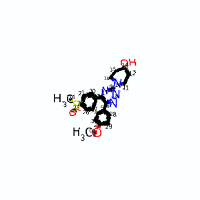 COc1ccc(-c2nnc(N3CCC(O)CC3)nc2-c2ccc([S+](C)[O-])cc2)cc1